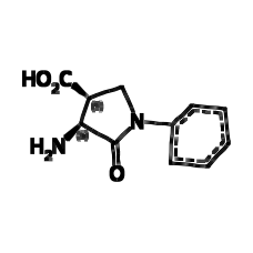 N[C@@H]1C(=O)N(c2ccccc2)C[C@@H]1C(=O)O